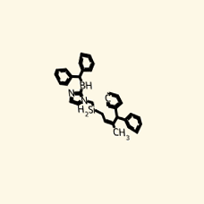 CC(=CC[SiH2]Cn1ccnc1BC(c1ccccc1)c1ccccc1)C(c1ccccc1)c1ccccc1